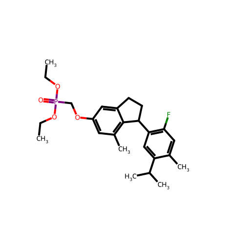 CCOP(=O)(COc1cc(C)c2c(c1)CCC2c1cc(C(C)C)c(C)cc1F)OCC